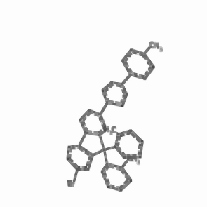 Cc1ccc(-c2ccc(-c3ccc4c(c3)C(c3ccccc3C)(c3ccccc3C)c3cc(Br)ccc3-4)cc2)cc1